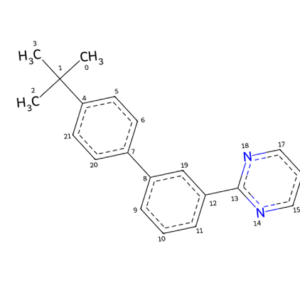 CC(C)(C)c1ccc(-c2cccc(-c3ncccn3)c2)cc1